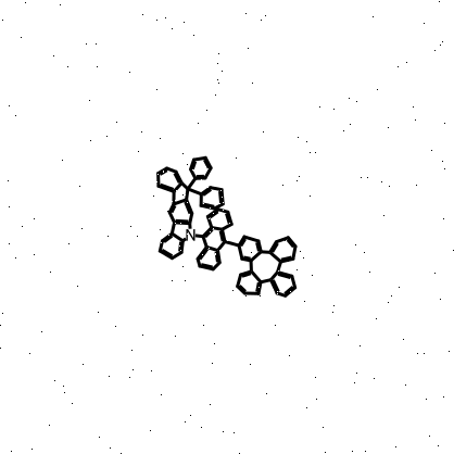 c1ccc(C2(c3ccccc3)c3ccccc3-c3cc4c5ccccc5n(-c5c6ccccc6c(-c6ccc7c(c6)-c6ccccc6-c6ccccc6-c6ccccc6-7)c6ccccc56)c4cc32)cc1